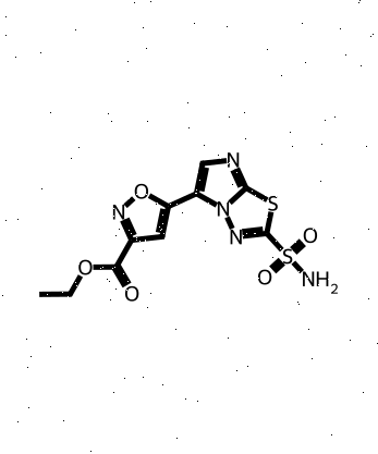 CCOC(=O)c1cc(-c2cnc3sc(S(N)(=O)=O)nn23)on1